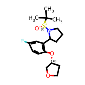 CC(C)(C)[S@+]([O-])N1CCCC1c1cc(F)ccc1O[C@@H]1CCOC1